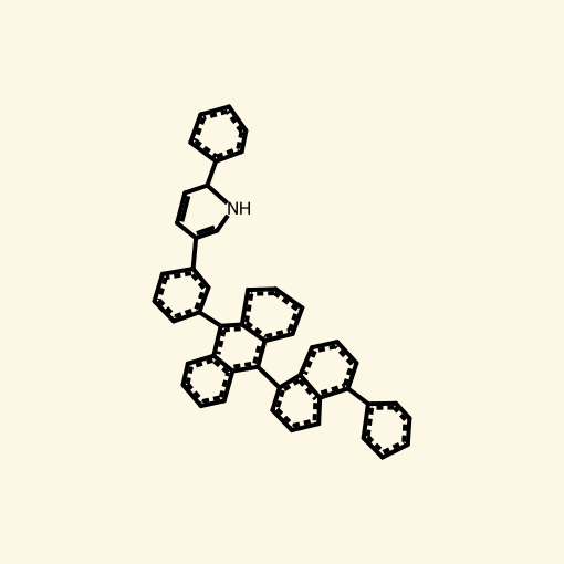 C1=CC(c2ccccc2)NC=C1c1cccc(-c2c3ccccc3c(-c3cccc4c(-c5ccccc5)cccc34)c3ccccc23)c1